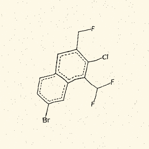 FCc1cc2ccc(Br)cc2c(C(F)F)c1Cl